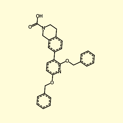 O=C(O)N1CCc2ccc(-c3ccc(OCc4ccccc4)nc3OCc3ccccc3)cc2C1